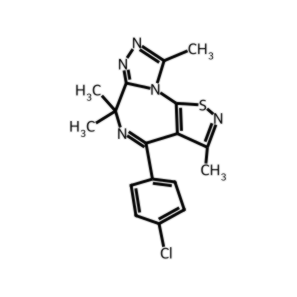 Cc1nsc2c1C(c1ccc(Cl)cc1)=NC(C)(C)c1nnc(C)n1-2